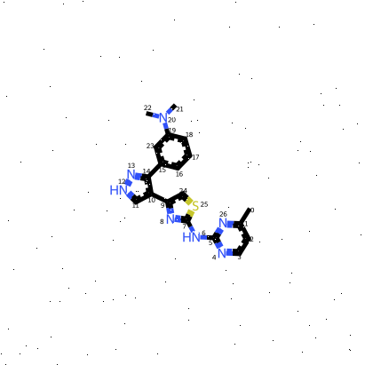 Cc1ccnc(Nc2nc(-c3c[nH]nc3-c3cccc(N(C)C)c3)cs2)n1